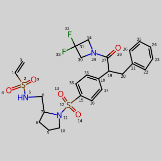 C=CS(=O)(=O)NCC1CCCN1S(=O)(=O)c1ccc(C(Cc2ccccc2)C(=O)N2CC(F)(F)C2)cc1